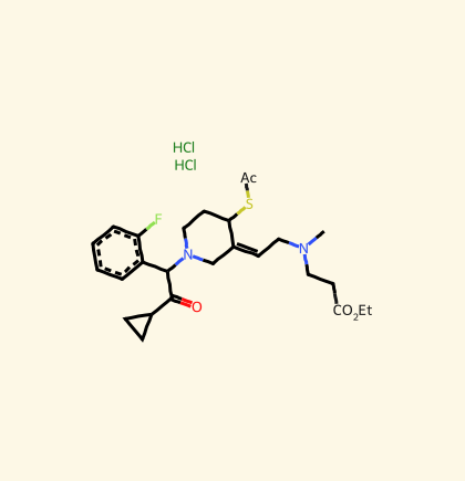 CCOC(=O)CCN(C)C/C=C1/CN(C(C(=O)C2CC2)c2ccccc2F)CCC1SC(C)=O.Cl.Cl